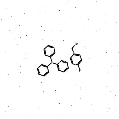 Fc1ccc(CBr)cc1.c1ccc(P(c2ccccc2)c2ccccc2)cc1